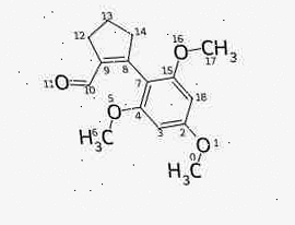 COc1cc(OC)c(C2=C(C=O)CCC2)c(OC)c1